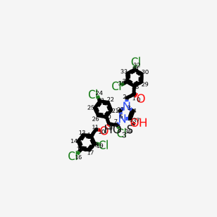 O=C(CN1C=CN(C(Cl)C(OCc2ccc(Cl)cc2Cl)c2ccc(Cl)cc2)C1)c1ccc(Cl)cc1Cl.O=S(=O)(O)O